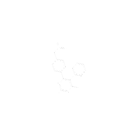 O=[SH](=O)Cc1ccc(-c2nc(C(F)(F)F)nc(Cl)c2-c2ccccc2)cc1